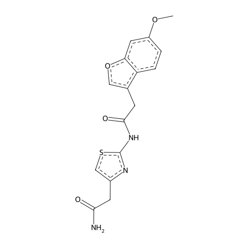 COc1ccc2c(CC(=O)Nc3nc(CC(N)=O)cs3)coc2c1